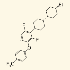 CC[C@H]1CC[C@H](C2CCC(c3c(F)c[c]c(Oc4ccc(C(F)(F)F)cc4)c3F)CC2)CC1